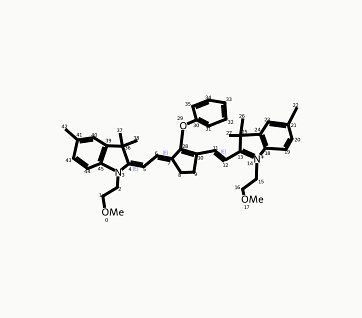 COCCN1/C(=C/C=C2\CCC(/C=C/C3=[N+](CCOC)c4ccc(C)cc4C3(C)C)=C2Oc2ccccc2)C(C)(C)c2cc(C)ccc21